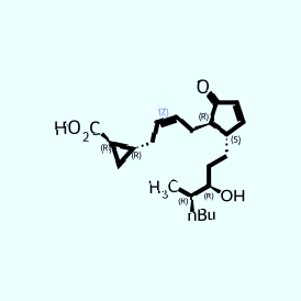 CCCC[C@@H](C)[C@H](O)CC[C@H]1C=CC(=O)[C@@H]1C/C=C\C[C@@H]1C[C@H]1C(=O)O